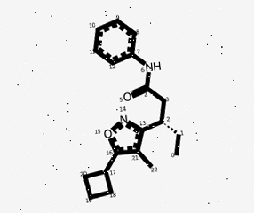 CC[C@@H](CC(=O)Nc1ccccc1)c1noc(C2CCC2)c1C